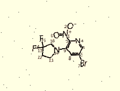 O=[N+]([O-])c1ncc(Br)cc1N1CCC(F)(F)C1